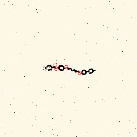 [CH2-][C+]1CCC(C(=O)OC2CCC(OCCCCCCOC3CCC(C4CCC(C)CC4)CC3)CC2)CC1